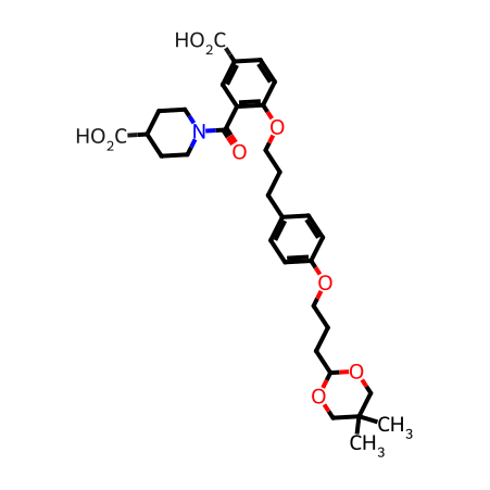 CC1(C)COC(CCCOc2ccc(CCCOc3ccc(C(=O)O)cc3C(=O)N3CCC(C(=O)O)CC3)cc2)OC1